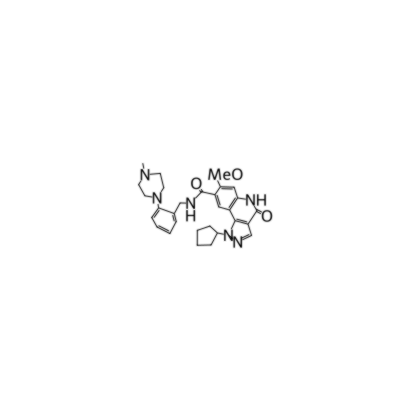 COc1cc2[nH]c(=O)c3cnn(C4CCCC4)c3c2cc1C(=O)NCc1ccccc1N1CCN(C)CC1